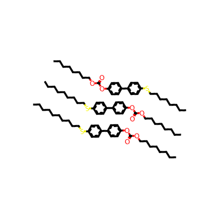 CCCCCCCCCCSc1ccc(-c2ccc(OC(=O)OCCCCCCCC)cc2)cc1.CCCCCCCCCSc1ccc(-c2ccc(OC(=O)OCCCCCCCC)cc2)cc1.CCCCCCCCOC(=O)Oc1ccc(-c2ccc(SCCCCCCCC)cc2)cc1